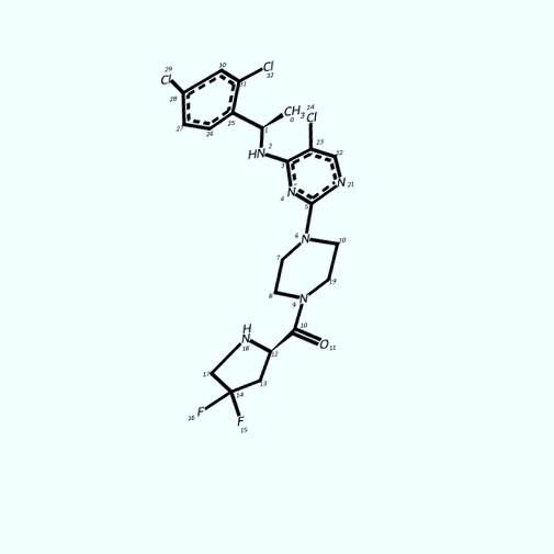 C[C@@H](Nc1nc(N2CCN(C(=O)[C@H]3CC(F)(F)CN3)CC2)ncc1Cl)c1ccc(Cl)cc1Cl